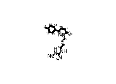 C/N=C(\NC#N)NCCSCn1nc(-c2ccc(C)cc2)ccc1=O